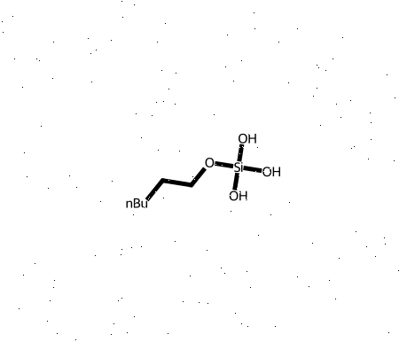 CCCCCCO[Si](O)(O)O